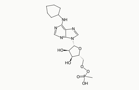 CP(=O)(O)OOC[C@H]1O[C@@H](n2cnc3c(NC4CCCCC4)ncnc32)[C@H](O)[C@@H]1O